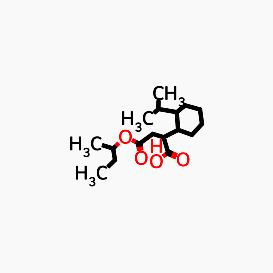 CCC(C)OC(=O)CC(C(=O)O)C1CCCCC1C(C)C